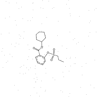 CCCS(=O)(=O)Oc1ccccc1C(=O)OC1CCCCC1